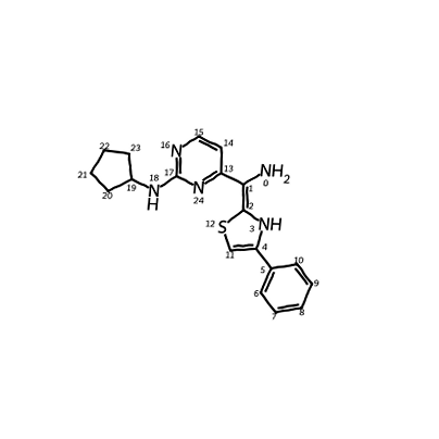 N/C(=C1\NC(c2ccccc2)=CS1)c1ccnc(NC2CCCC2)n1